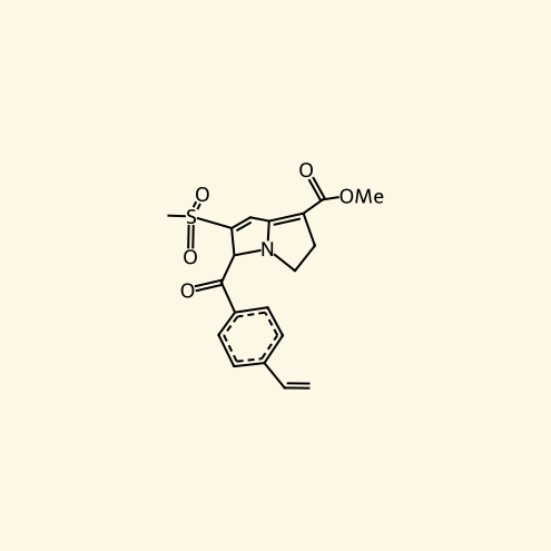 C=Cc1ccc(C(=O)C2C(S(C)(=O)=O)=CC3=C(C(=O)OC)CCN32)cc1